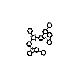 c1ccc(-c2ccc(-c3cc(-c4nc(-c5ccccc5)nc(-c5cccc(-n6c7ccccc7c7cc(-c8ccccc8)ccc76)c5)n4)ccc3-n3c4ccccc4c4ccccc43)cc2)cc1